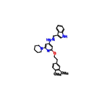 COc1ccc(CCOc2cc(N/N=C/c3c[nH]c4ccccc34)cc(N3CCCCC3)n2)cc1OC